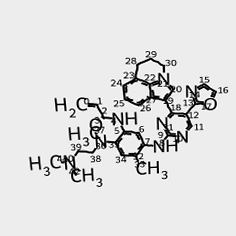 C=CC(=O)Nc1cc(Nc2ncc(-c3ncco3)c(-c3cn4c5c(cccc35)CCC4)n2)c(C)cc1N(C)CCN(C)C